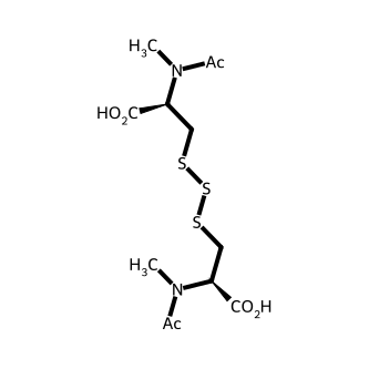 CC(=O)N(C)[C@@H](CSSSC[C@@H](C(=O)O)N(C)C(C)=O)C(=O)O